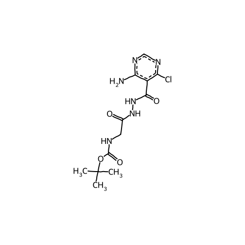 CC(C)(C)OC(=O)NCC(=O)NNC(=O)c1c(N)ncnc1Cl